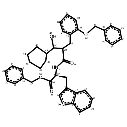 O=C(N[C@@H](Cc1c[nH]c2ccccc12)C(=O)OCc1ccccc1)C(Cc1ccccc1OCc1ccccc1)C(O)C1CCCCC1